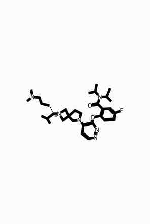 CC(C)[C@H](CCCN(C)C)N1CC2(CCN(c3ccnnc3Oc3ccc(F)cc3C(=O)N(C(C)C)C(C)C)C2)C1